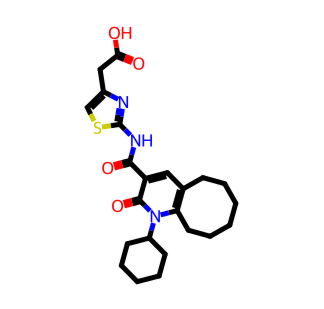 O=C(O)Cc1csc(NC(=O)c2cc3c(n(C4CCCCC4)c2=O)CCCCCC3)n1